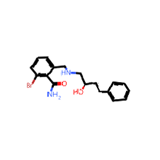 NC(=O)c1c(Br)cccc1CNC[C@H](O)[CH]Cc1ccccc1